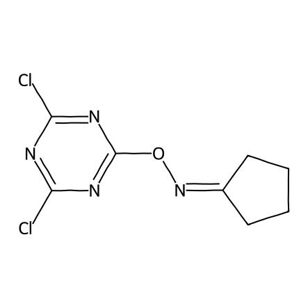 Clc1nc(Cl)nc(ON=C2CCCC2)n1